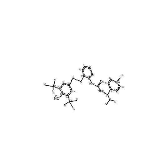 CC(C)C(NC(=O)Nc1ccccc1CCc1cc(C(C)(C)C)c(O)c(C(C)(C)C)c1)c1ccc(F)cc1